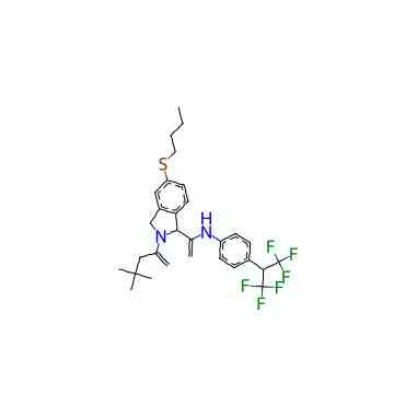 C=C(Nc1ccc(C(C(F)(F)F)C(F)(F)F)cc1)C1c2ccc(SCCCC)cc2CN1C(=C)CC(C)(C)C